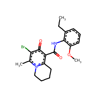 CCc1cccc(OC)c1NC(=O)c1c2n(c(C)c(Br)c1=O)CCCC2